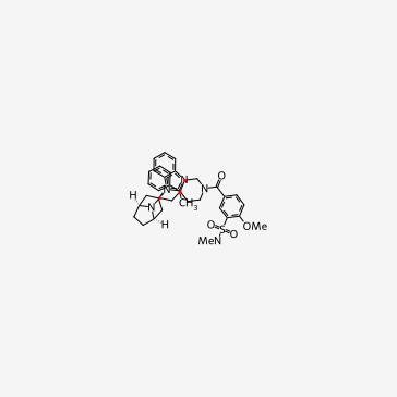 CNS(=O)(=O)c1cc(C(=O)N2CCC(CCN3[C@@H]4CC[C@H]3C[C@@H](n3c(C)nc5ccccc53)C4)(c3ccccc3)CC2)ccc1OC